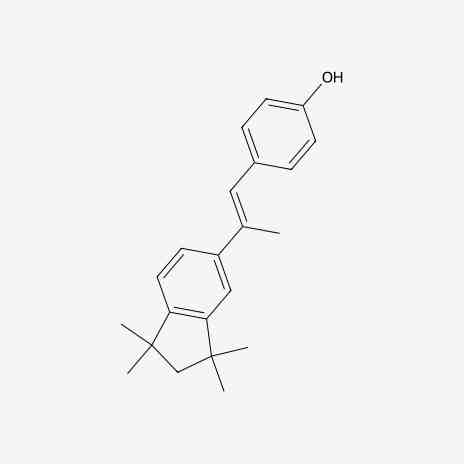 CC(=Cc1ccc(O)cc1)c1ccc2c(c1)C(C)(C)CC2(C)C